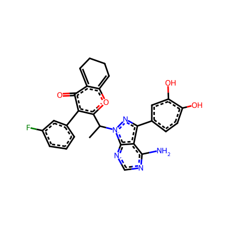 CC(c1oc2c(c(=O)c1-c1cccc(F)c1)=CCCC=2)n1nc(-c2ccc(O)c(O)c2)c2c(N)ncnc21